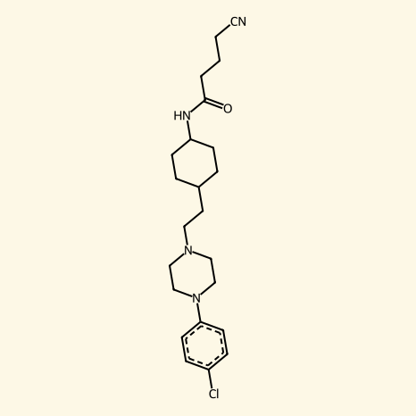 N#CCCCC(=O)NC1CCC(CCN2CCN(c3ccc(Cl)cc3)CC2)CC1